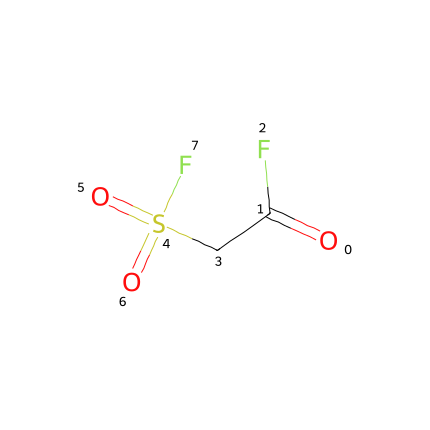 O=C(F)CS(=O)(=O)F